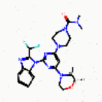 C[C@@H]1OCCN(c2cc(N3CCN(C(=O)N(C)C)CC3)nc(-n3c(C(F)F)nc4ccccc43)n2)[C@H]1C